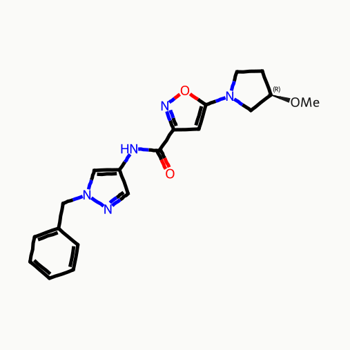 CO[C@@H]1CCN(c2cc(C(=O)Nc3cnn(Cc4ccccc4)c3)no2)C1